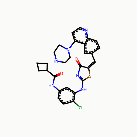 O=C1N=C(Nc2cc(NC(=O)C3CCC3)ccc2Cl)SC1=Cc1ccc2nccc(N3CCNCC3)c2c1